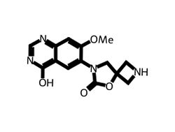 COc1cc2ncnc(O)c2cc1N1CC2(CNC2)OC1=O